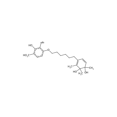 CCCc1c(OCCCCCCC2=C(C)C(C)(O)C(C)(O)C=C2)ccc(C(=O)O)c1O